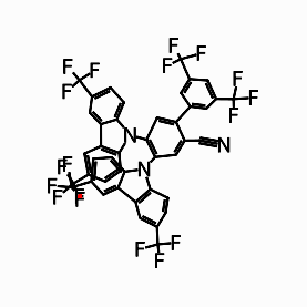 N#Cc1cc(-n2c3ccc(C(F)(F)F)cc3c3cc(C(F)(F)F)ccc32)c(-n2c3ccc(C(F)(F)F)cc3c3cc(C(F)(F)F)ccc32)cc1-c1cc(C(F)(F)F)cc(C(F)(F)F)c1